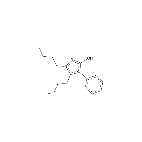 CCCCc1c(-c2ccccc2)c(O)nn1CCCC